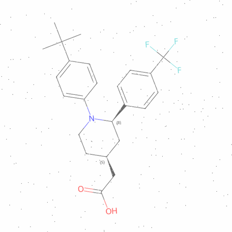 CC(C)(C)c1ccc(N2CC[C@H](CC(=O)O)C[C@@H]2c2ccc(C(F)(F)F)cc2)cc1